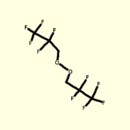 FC(F)(F)C(F)(F)COOCC(F)(F)C(F)(F)F